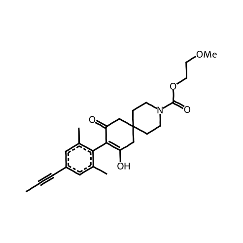 CC#Cc1cc(C)c(C2=C(O)CC3(CCN(C(=O)OCCOC)CC3)CC2=O)c(C)c1